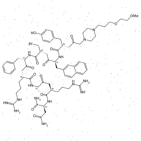 COCCOCCCN1CCN(CC(=O)C[C@@H](Cc2ccc(O)cc2)C(=O)N[C@@H](Cc2ccc3ccccc3c2)C(=O)C[C@@H](CC(C)C)C(=O)N[C@@H](Cc2ccccc2)C(=O)C[C@@H](CCCNC(=N)N)C(=O)N[C@@H](C)C(=O)C[C@@H](CCCNC(=N)N)C(=O)N[C@@H](CC(N)=O)C(N)=O)CC1